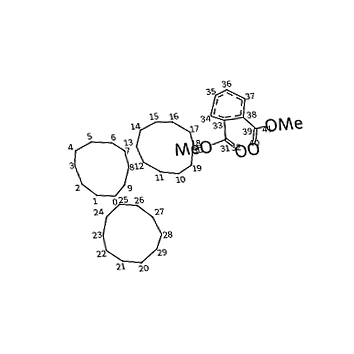 C1CCCCCCCCC1.C1CCCCCCCCC1.C1CCCCCCCCC1.COC(=O)c1ccccc1C(=O)OC